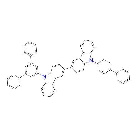 C1=CCC(C2=CCC(N3C4C=CC=CC4C4C=C(C5=CC6C7C=CC=CC7N(c7cc(-c8ccccc8)cc(C8C=CC=CC8)c7)C6C=C5)C=CC43)C=C2)C=C1